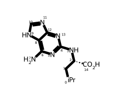 CC(C)C[C@H](Nc1nc(N)c2[nH]cnc2n1)C(=O)O